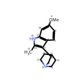 COc1ccc2c(C3CN4CCC3CC4)c(C)[nH]c2c1